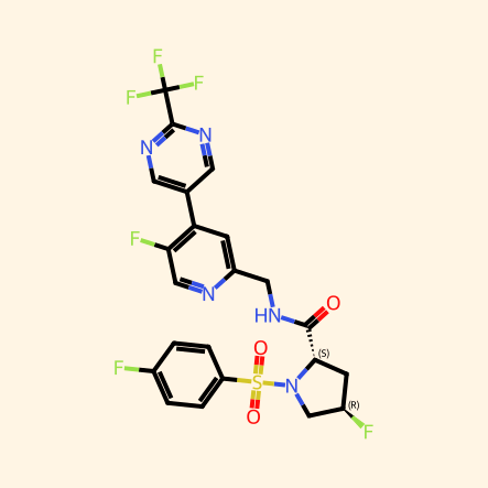 O=C(NCc1cc(-c2cnc(C(F)(F)F)nc2)c(F)cn1)[C@@H]1C[C@@H](F)CN1S(=O)(=O)c1ccc(F)cc1